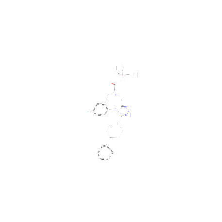 CC(C)(C)OC(=O)N1Cc2cc(Cl)ccc2-n2c(nnc2C2CCC(c3ccccc3)CC2)C1